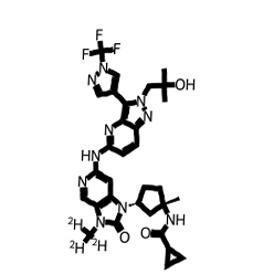 [2H]C([2H])([2H])n1c(=O)n([C@@H]2CC[C@](C)(NC(=O)C3CC3)C2)c2cc(Nc3ccc4nn(CC(C)(C)O)c(-c5cnn(C(F)(F)F)c5)c4n3)ncc21